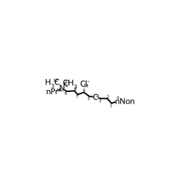 CCCCCCCCCCCCCCCCCC[N+](C)(C)CCC.[Cl-]